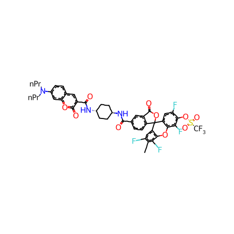 CCCN(CCC)c1ccc2cc(C(=O)N[C@H]3CC[C@H](NC(=O)c4ccc5c(c4)C(=O)OC54c5cc(F)c(C)c(F)c5Oc5c4cc(F)c(OS(=O)(=O)C(F)(F)F)c5F)CC3)c(=O)oc2c1